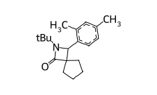 Cc1ccc(C2N(C(C)(C)C)C(=O)C23CCCC3)c(C)c1